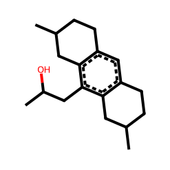 CC(O)Cc1c2c(cc3c1CC(C)CC3)CCC(C)C2